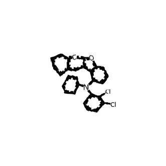 Clc1cccc(N(c2ccccc2)c2cccc3oc4cc5ccccc5cc4c23)c1Cl